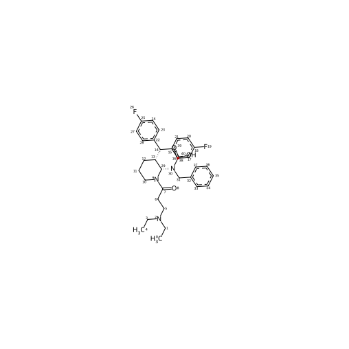 CCN(CC)CCC(=O)N1CCC[C@H](C(c2ccc(F)cc2)c2ccc(F)cc2)[C@@H]1N(Cc1ccccc1)C(=O)O